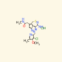 CNC(=O)Cc1cc2nn(Cc3ncc(C)c(OC)c3Cl)nc3c-2c1CSN=C3N.Cl